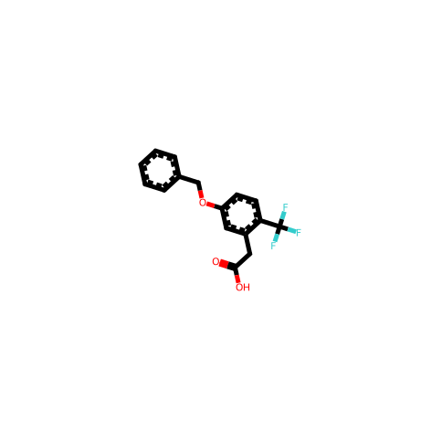 O=C(O)Cc1cc(OCc2ccccc2)ccc1C(F)(F)F